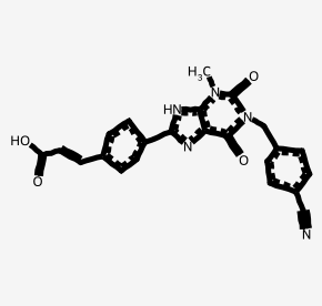 Cn1c(=O)n(Cc2ccc(C#N)cc2)c(=O)c2nc(-c3ccc(C=CC(=O)O)cc3)[nH]c21